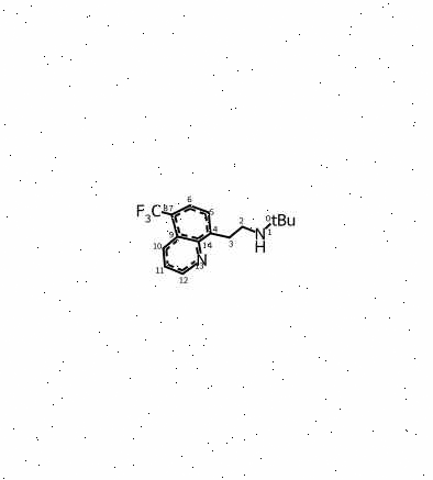 CC(C)(C)NCCc1ccc(C(F)(F)F)c2cccnc12